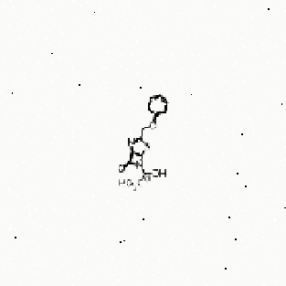 O=C(O)[C@H](O)N1C(=O)C2N=C(COc3ccccc3)SC21